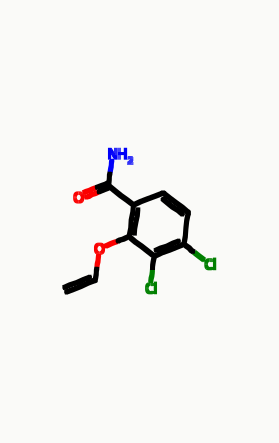 C=COc1c(C(N)=O)ccc(Cl)c1Cl